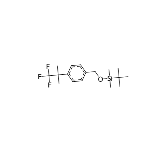 CC(C)(c1ccc(CO[Si](C)(C)C(C)(C)C)cc1)C(F)(F)F